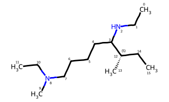 CCNC(CCCCN(C)CC)[C@@H](C)CC